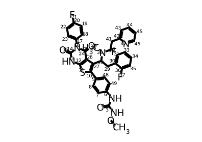 CONC(=O)Nc1ccc(-c2sc3[nH]c(=O)n(-c4ccc(F)cc4)c(=O)c3c2C(Cc2c(F)cccc2F)N(C)CCc2ccccn2)cc1